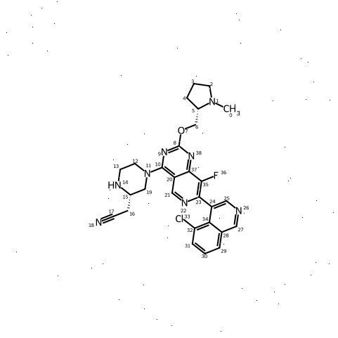 CN1CCC[C@H]1COc1nc(N2CCN[C@@H](CC#N)C2)c2cnc(-c3cncc4cccc(Cl)c34)c(F)c2n1